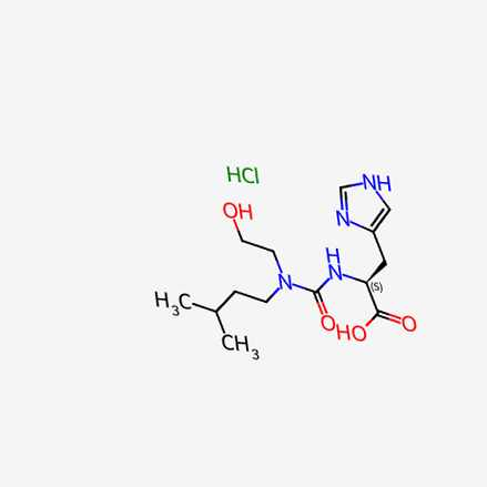 CC(C)CCN(CCO)C(=O)N[C@@H](Cc1c[nH]cn1)C(=O)O.Cl